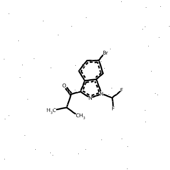 CC(C)C(=O)c1nn(C(F)F)c2cc(Br)ccc12